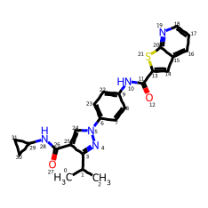 CC(C)c1nn(-c2ccc(NC(=O)c3cc4cccnc4s3)cc2)cc1C(=O)NC1CC1